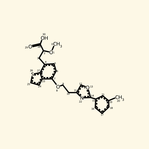 COC(Cc1ccc(OCCc2coc(-c3cccc(C)c3)n2)c2ccsc12)C(=O)O